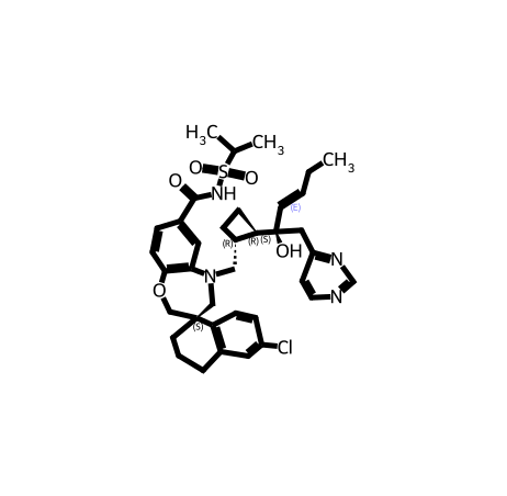 CC/C=C/[C@](O)(Cc1ccncn1)[C@@H]1CC[C@H]1CN1C[C@@]2(CCCc3cc(Cl)ccc32)COc2ccc(C(=O)NS(=O)(=O)C(C)C)cc21